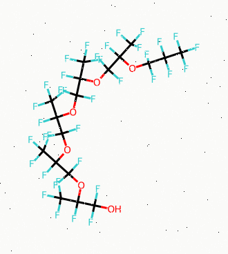 OC(F)(F)C(F)(OC(F)(F)C(F)(OC(F)(F)C(F)(OC(F)(F)C(F)(OC(F)(F)C(F)(OC(F)(F)C(F)(F)C(F)(F)F)C(F)(F)F)C(F)(F)F)C(F)(F)F)C(F)(F)F)C(F)(F)F